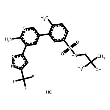 Cc1ccc(S(=O)(=O)NCC(C)(C)O)cc1-c1cnc(N)c(-c2cc(C(F)(F)F)no2)c1.Cl